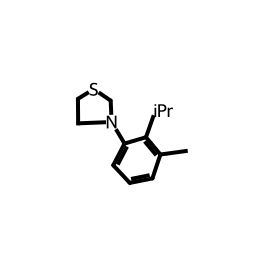 Cc1cccc(N2CCSC2)c1C(C)C